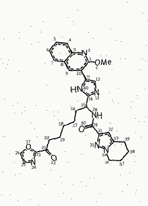 COc1nc2ccccc2cc1-c1cnc(C(CCCCCC(=O)c2ncco2)NC(=O)c2cc3n(n2)CCCC3)[nH]1